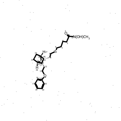 CN(O)C(=O)CCCCSCC[C@@H]1[C@H](CCOc2ccccc2)[C@@H]2CC[C@H]1O2